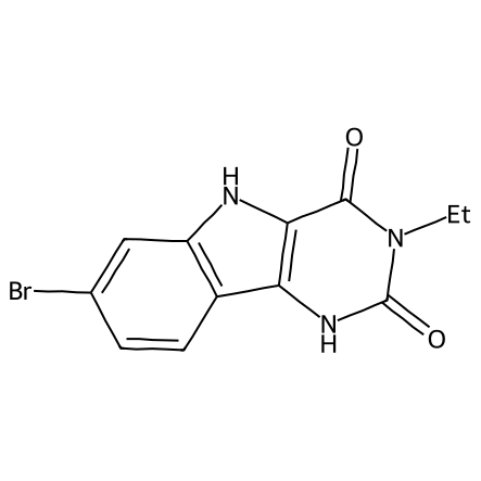 CCn1c(=O)[nH]c2c([nH]c3cc(Br)ccc32)c1=O